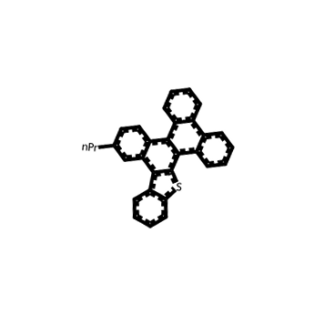 CCCc1ccc2c(c1)c1c3ccccc3sc1c1c3ccccc3c3ccccc3c21